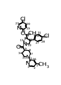 Cc1ccnc(N2CCC(C(=O)N3C[C@H]([C@H](C)Oc4ccc(Cl)cn4)[C@@H](c4ccc(Cl)cc4)C3)CC2)c1